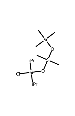 CC(C)[Si](Cl)(O[Si](C)(C)O[Si](C)(C)C)C(C)C